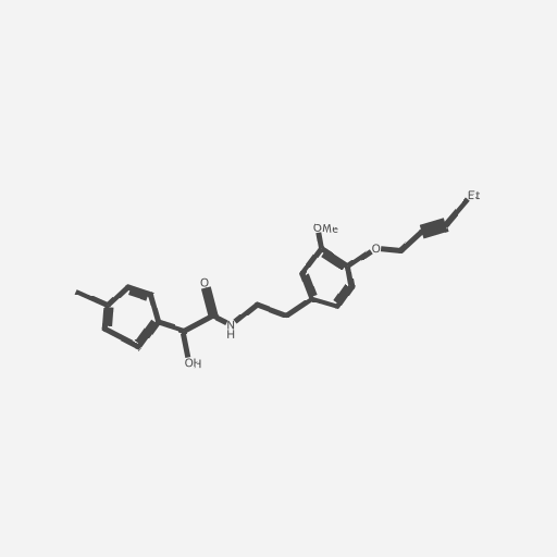 CCC#CCOc1ccc(CCNC(=O)C(O)c2ccc(C)cc2)cc1OC